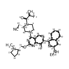 C=C(F)C(=O)N1CCN(c2nc(OC[C@@H]3CCCN3C)nc3c(F)c(-c4nc(NCC)cc5ccccc45)ncc23)C[C@@H]1CC#N